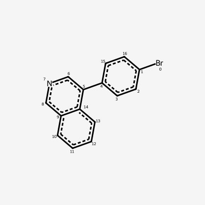 Brc1ccc(-c2cncc3ccccc23)cc1